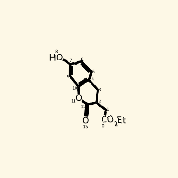 CCOC(=O)CC1Cc2ccc(O)cc2OC1=O